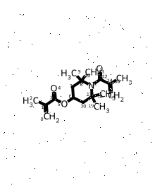 C=C(C)C(=O)OC1CC(C)(C)N(C(=O)C(=C)C)C(C)(C)C1